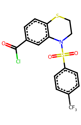 O=C(Cl)c1ccc2c(c1)N(S(=O)(=O)c1ccc(C(F)(F)F)cc1)CCS2